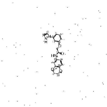 O=C(COc1cccc(-n2cn[nH]2)c1)Nc1ccc2c(c1)OCCO2